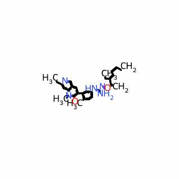 C=C/C=C\C=C(/CC)C(=C)O/N=C(\N)Nc1ccc(C)c(-c2cc3cnc(CC)cc3n(C)c2=O)c1